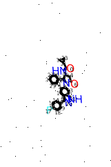 O=C(N[C@H]1CC(=O)N(c2ccc3c(-c4ccc(F)cc4)n[nH]c3c2)[C@@H]1c1ccccc1)C1CC1